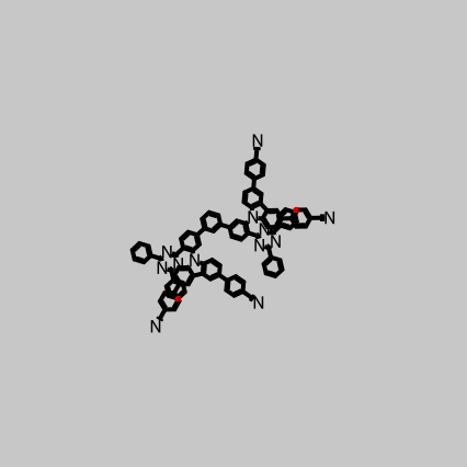 N#Cc1ccc(-c2ccc3c(c2)c2cc(-c4ccc(C#N)cc4)ccc2n3-c2cc(-c3cccc(-c4ccc(-c5nc(-c6ccccc6)nc(-c6ccccc6)n5)c(-n5c6ccc(-c7ccc(C#N)cc7)cc6c6cc(-c7ccc(C#N)cc7)ccc65)c4)c3)ccc2-c2nc(-c3ccccc3)nc(-c3ccccc3)n2)cc1